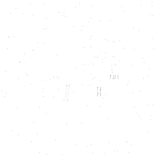 COC(=O)[C@@H]1C=CONN1